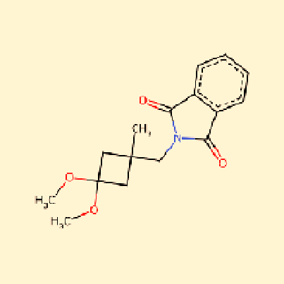 COC1(OC)CC(C)(CN2C(=O)c3ccccc3C2=O)C1